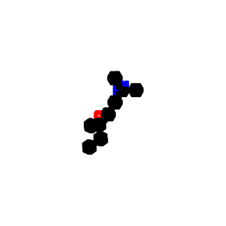 c1ccc(-c2cccc(-c3cc4c5ccc(-c6ccc(-c7cc(-c8ccccc8)nc(-c8ccccc8)n7)cc6)cc5oc4c4ccccc34)c2)cc1